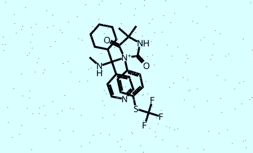 CNC(c1ccncc1)(C1CCCCC1)[N+]1(c2ccc(SC(F)(F)F)cc2)C(=O)NC(C)(C)C1=O